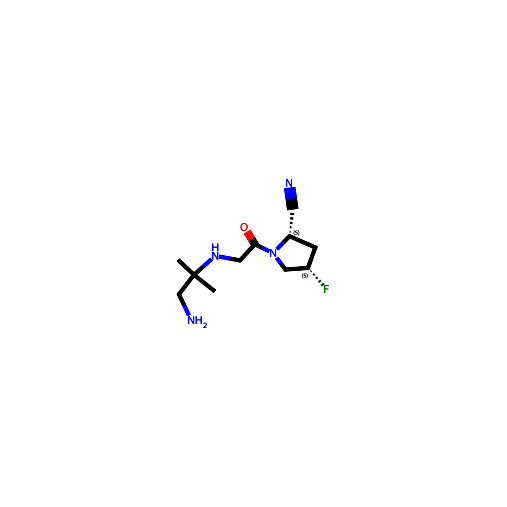 CC(C)(CN)NCC(=O)N1C[C@@H](F)C[C@H]1C#N